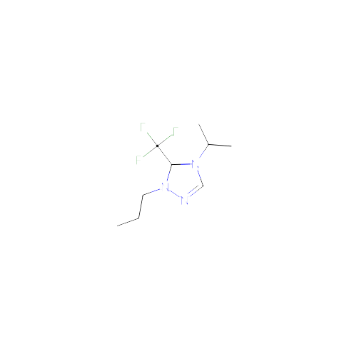 CCCN1N=CN(C(C)C)C1C(F)(F)F